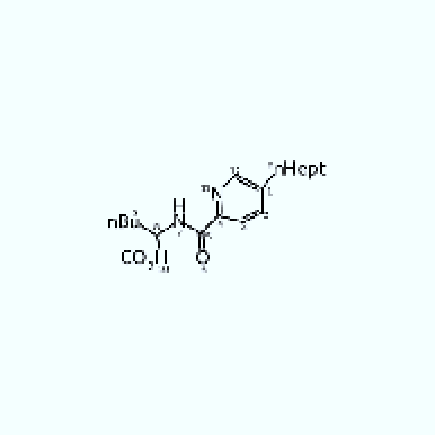 CCCCCCCc1ccc(C(=O)NC(CCCC)C(=O)O)nc1